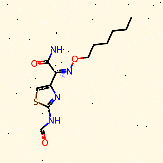 CCCCCCO/N=C(\C([NH])=O)c1csc(NC=O)n1